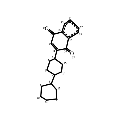 O=C1C=C(C2CCC(C3CCCCC3)CC2)C(=O)c2ccccc21